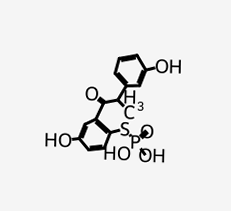 CC(C(=O)c1cc(O)ccc1SP(=O)(O)O)c1cccc(O)c1